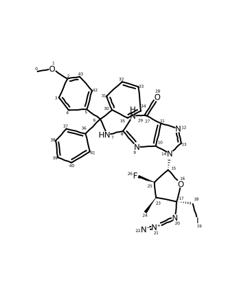 COc1ccc(C(Nc2nc3c(ncn3[C@@H]3O[C@@](CI)(N=[N+]=[N-])[C@@H](C)[C@H]3F)c(=O)[nH]2)(c2ccccc2)c2ccccc2)cc1